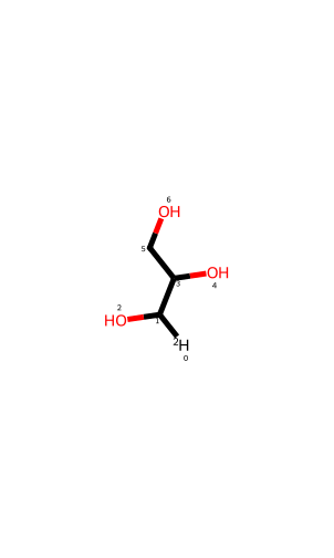 [2H]C(O)C(O)CO